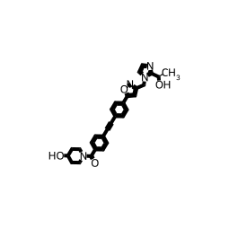 C[C@H](O)c1nccn1Cc1cc(-c2ccc(C#Cc3ccc(C(=O)N4CCC(O)CC4)cc3)cc2)on1